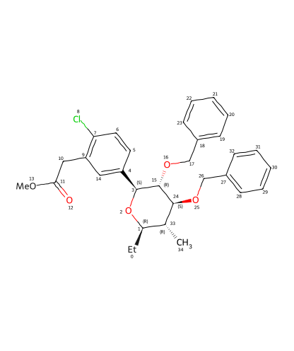 CC[C@H]1O[C@@H](c2ccc(Cl)c(CC(=O)OC)c2)[C@H](OCc2ccccc2)[C@@H](OCc2ccccc2)[C@@H]1C